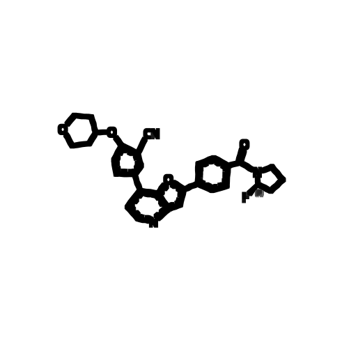 N#Cc1cc(-c2ccnc3cc(-c4ccc(C(=O)N5CCC[C@H]5F)cc4)oc23)ccc1OC1CCOCC1